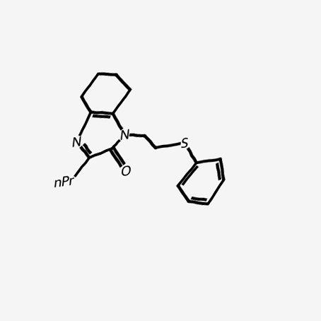 CCCc1nc2c(n(CCSc3ccccc3)c1=O)CCCC2